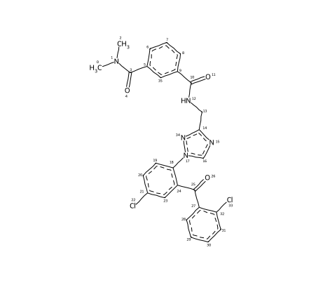 CN(C)C(=O)c1cccc(C(=O)NCc2ncn(-c3ccc(Cl)cc3C(=O)c3ccccc3Cl)n2)c1